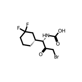 O=C(O)N[C@H](C(=O)CBr)[C@@H]1CCCC(F)(F)C1